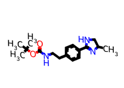 CC1CNC(c2ccc(CCNC(=O)OC(C)(C)C)cc2)=N1